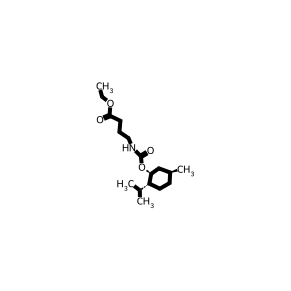 CCOC(=O)CCCNC(=O)O[C@@H]1C[C@@H](C)CC[C@@H]1C(C)C